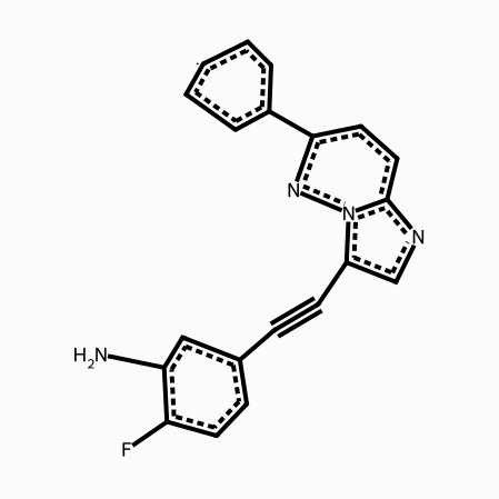 Nc1cc(C#Cc2cnc3ccc(-c4cc[c]cc4)nn23)ccc1F